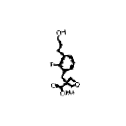 COC(=O)C1(Cc2cccc(CCCO)c2F)COC1